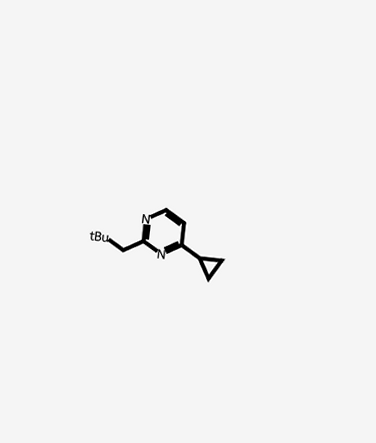 CC(C)(C)Cc1nccc(C2CC2)n1